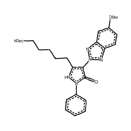 CCCCCCCCCCCCCCCc1[nH]n(-c2ccccc2)c(=O)c1-n1nc2ccc(OC)cc2n1